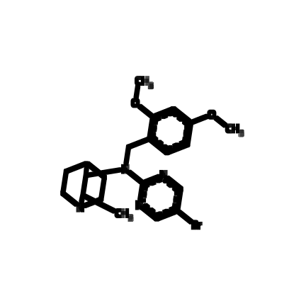 COc1ccc(CN(c2ncc(Br)cn2)C2C3CCN(CC3)C2C)c(OC)c1